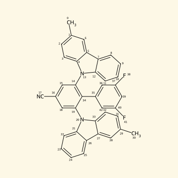 Cc1ccc2c(c1)c1ccccc1n2-c1cc(C#N)cc(-n2c3ccccc3c3cc(C)ccc32)c1-c1cc(F)cc(F)c1